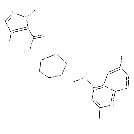 Cn1ncc(Br)c1C(=O)N[C@H]1CC[C@@H](CNc2cc(C(F)(F)F)nc3ccc(Cl)cc23)CC1